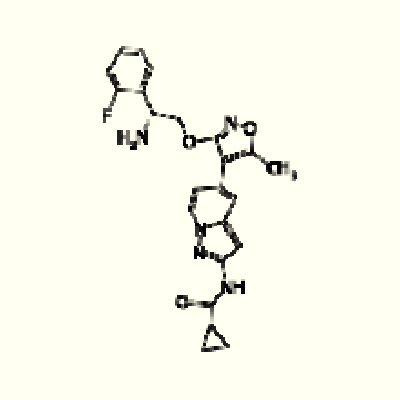 Cc1onc(OC[C@H](N)c2ccccc2F)c1-c1ccn2nc(NC(=O)C3CC3)cc2c1